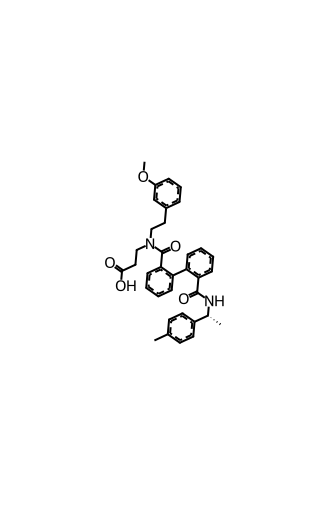 COc1cccc(CCN(CCC(=O)O)C(=O)c2ccccc2-c2ccccc2C(=O)N[C@H](C)c2ccc(C)cc2)c1